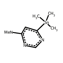 CNc1c[c]([Sn]([CH3])([CH3])[CH3])ncn1